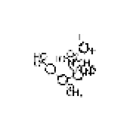 COc1ccc([C@H]2CC[C@H](C(=O)O)CC2)cc1-c1ccc(N2CCC2)nc1CN1C(O)O[C@H](c2cc(F)cc(F)c2)[C@@H]1C